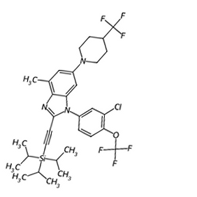 Cc1cc(N2CCC(C(F)(F)F)CC2)cc2c1nc(C#C[Si](C(C)C)(C(C)C)C(C)C)n2-c1ccc(OC(F)(F)F)c(Cl)c1